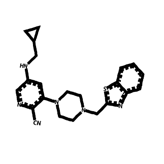 N#Cc1ncc(NCC2CC2)cc1N1CCN(Cc2nc3ccccc3s2)CC1